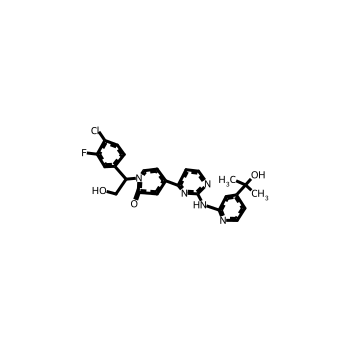 CC(C)(O)c1ccnc(Nc2nccc(-c3ccn(C(CO)c4ccc(Cl)c(F)c4)c(=O)c3)n2)c1